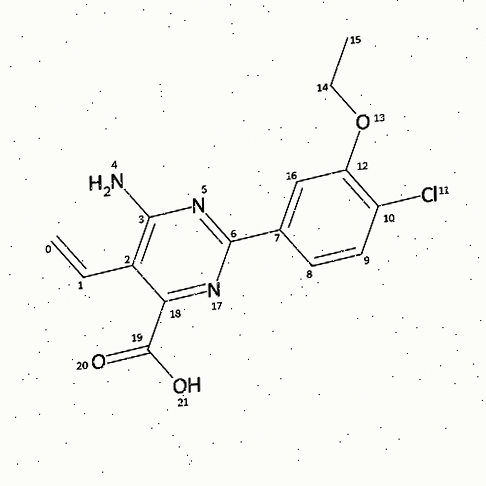 C=Cc1c(N)nc(-c2ccc(Cl)c(OCC)c2)nc1C(=O)O